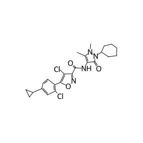 Cc1c(NC(=O)c2noc(-c3ccc(C4CC4)cc3Cl)c2Cl)c(=O)n(C2CCCCC2)n1C